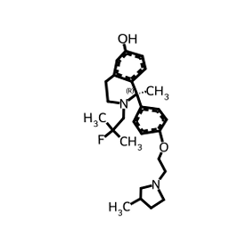 CC1CCN(CCOc2ccc([C@]3(C)c4ccc(O)cc4CCN3CC(C)(C)F)cc2)C1